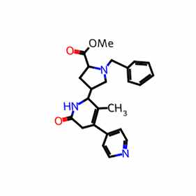 COC(=O)C1CC(C2NC(=O)CC(c3ccncc3)=C2C)CN1Cc1ccccc1